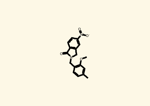 COc1cc(C)ccc1CN1Cc2cc([N+](=O)[O-])ccc2C1=O